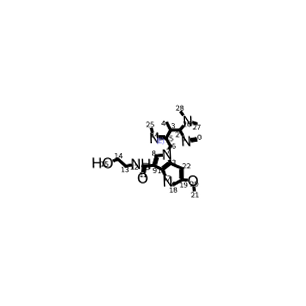 C=NC(C(C)/C(Cn1cc(C(=O)NCCO)c2ncc(OC)cc21)=N\C)N(C)C